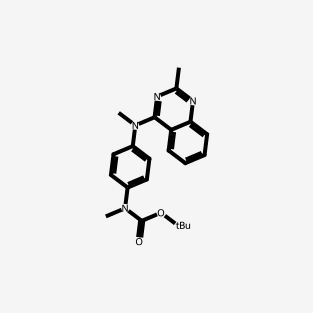 Cc1nc(N(C)c2ccc(N(C)C(=O)OC(C)(C)C)cc2)c2ccccc2n1